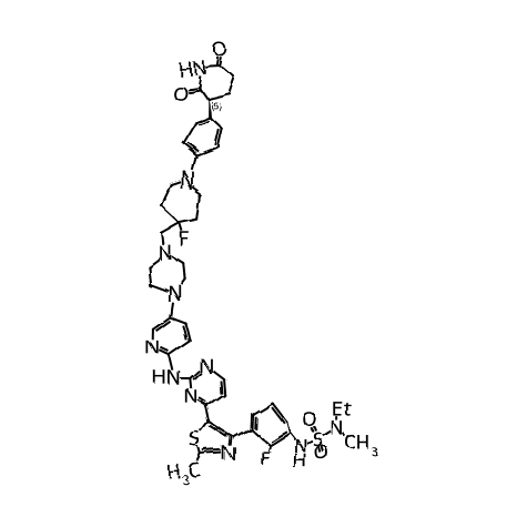 CCN(C)S(=O)(=O)Nc1cccc(-c2nc(C)sc2-c2ccnc(Nc3ccc(N4CCN(CC5(F)CCN(c6ccc([C@@H]7CCC(=O)NC7=O)cc6)CC5)CC4)cn3)n2)c1F